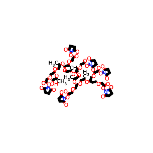 CC(COC(COCC(=O)ON1C(=O)CCC1=O)OC(C)COC(COCC(=O)ON1C(=O)CCC1=O)OC(C)COC(COCC(=O)ON1C(=O)CCC1=O)OC(C)COC(COCC(=O)ON1C(=O)CCC1=O)OC(C)CO)OC(CCOCC(=O)ON1C(=O)CCC1=O)COCC(=O)ON1C(=O)CCC1=O